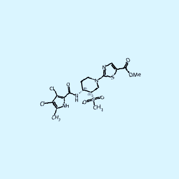 COC(=O)c1cnc(N2CC[C@@H](NC(=O)c3[nH]c(C)c(Cl)c3Cl)[C@@H](S(C)(=O)=O)C2)s1